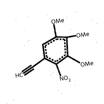 C#Cc1cc(OC)c(OC)c(OC)c1[N+](=O)[O-]